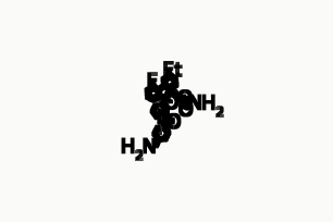 CCc1cccc(-c2c(F)cccc2[C@](O)(CCCOC(N)=O)[C@@H]2CCCN(C(=O)N3CCC(CN)CC3)C2)c1